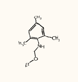 CCO[CH]Nc1c(C)cc(C)cc1C